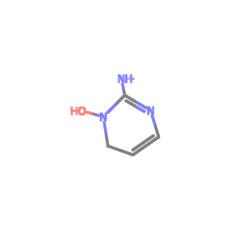 [NH]C1=NC=CCN1O